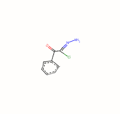 NN=C(Cl)C(=O)c1[c]cccc1